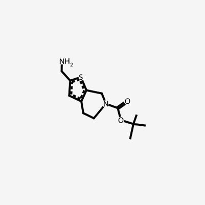 CC(C)(C)OC(=O)N1CCc2cc(CN)sc2C1